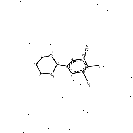 Cc1c(Cl)cc(C2OCCCO2)c[n+]1[O-]